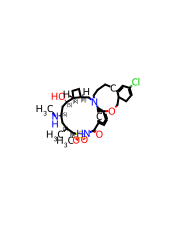 CN[C@H]1C[C@H](C)[C@@H](C)S(=O)(=O)NC(=O)c2ccc3c(c2)N(CCCCC2=CC(Cl)=CCC2CO3)C[C@@H]2CC[C@H]2[C@@H](O)C1